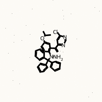 C=C(c1cc(Cl)ncn1)c1cc(OC(C)C)ccc1N(N)C(c1ccccc1)(c1ccccc1)c1ccccc1